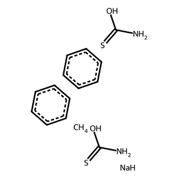 C.NC(O)=S.NC(O)=S.[NaH].c1ccccc1.c1ccccc1